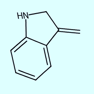 C=C1CNc2ccccc21